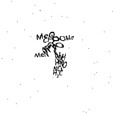 C/C=C(\C#N)C(=O)N1C[C@H]2CN(CCn3c(=O)c(-c4cc(OC)cc(OC)c4Cl)cc4cnc(NC)nc43)C[C@H]2C1